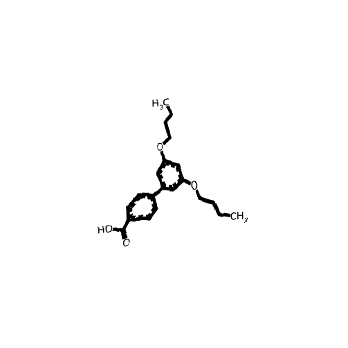 CCCCOc1cc(OCCCC)cc(-c2ccc(C(=O)O)cc2)c1